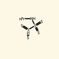 CCCNS(=S)(=S)[SH](=S)=S